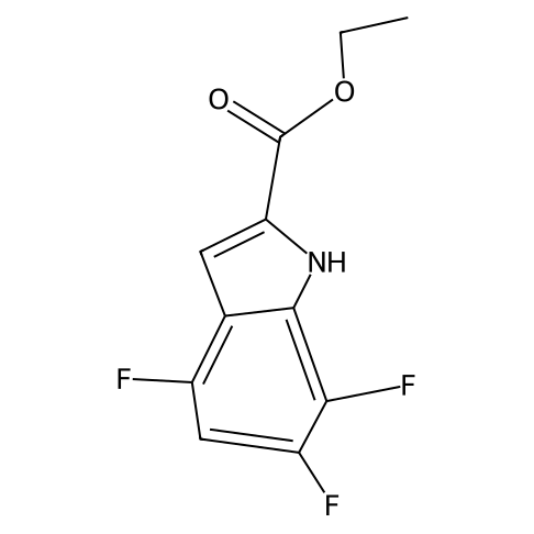 CCOC(=O)c1cc2c(F)cc(F)c(F)c2[nH]1